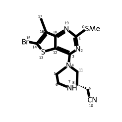 CSc1nc(N2CCN[C@@H](CC#N)C2)c2sc(Br)c(C)c2n1